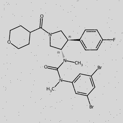 CN(C(=O)N(C)[C@@H]1CN(C(=O)C2CCOCC2)C[C@H]1c1ccc(F)cc1)c1cc(Br)cc(Br)c1